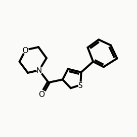 O=C(C1C=C(c2ccccc2)SC1)N1CCOCC1